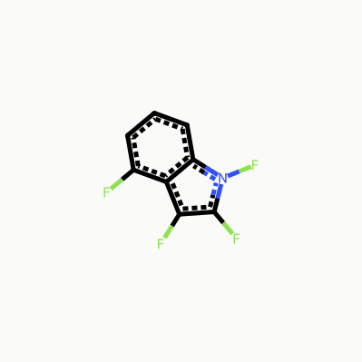 Fc1cccc2c1c(F)c(F)n2F